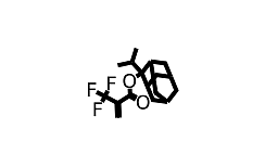 C=C(C(=O)OC1(C(C)C)C2CC3CC(C2)CC1C3)C(F)(F)F